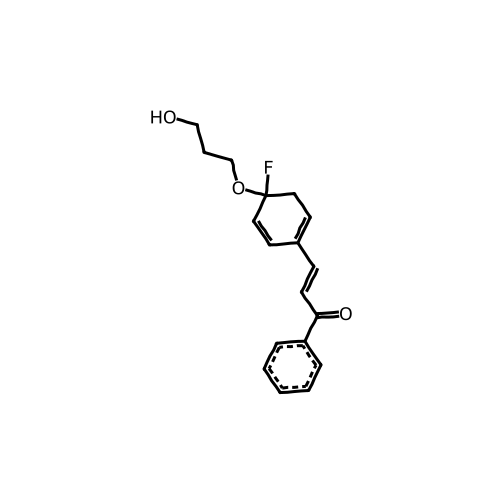 O=C(C=CC1=CCC(F)(OCCCO)C=C1)c1ccccc1